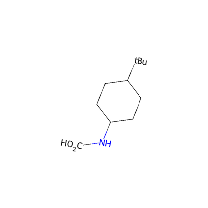 CC(C)(C)C1CCC(NC(=O)O)CC1